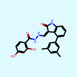 Cc1cc(C)cc(-c2cccc3c2C(=CNNC(=O)c2ccc(O)cc2O)C(=O)N3)c1